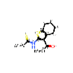 COC(=O)c1c(NC(=S)SC)sc2c1CCCC2